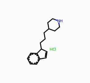 C1=CC(CCCC2CCNCC2)c2ccccc21.Cl